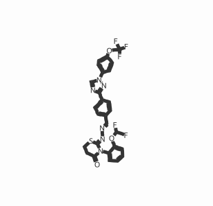 O=C1CCS/C(=N\N=C\c2ccc(-c3ncn(-c4ccc(OC(F)(F)F)cc4)n3)cc2)N1c1ccccc1OC(F)F